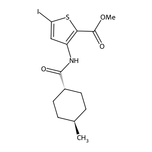 COC(=O)c1sc(I)cc1NC(=O)[C@H]1CC[C@H](C)CC1